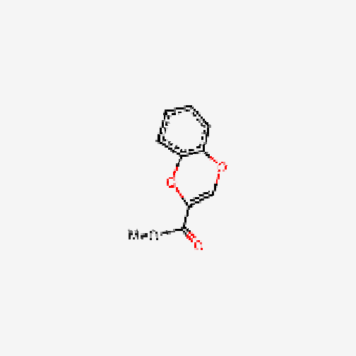 COC(=O)C1=COc2ccccc2O1